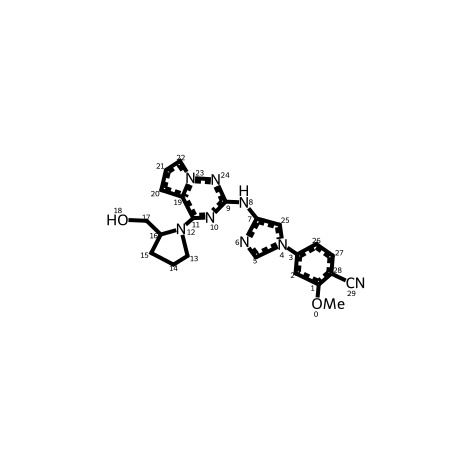 COc1cc(-n2cnc(Nc3nc(N4CCCC4CO)c4cccn4n3)c2)ccc1C#N